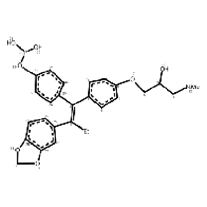 CCC(=C(c1ccc(OCC(O)CNC)cc1)c1ccc(OP(O)O)cc1)c1ccc2c(c1)OCO2